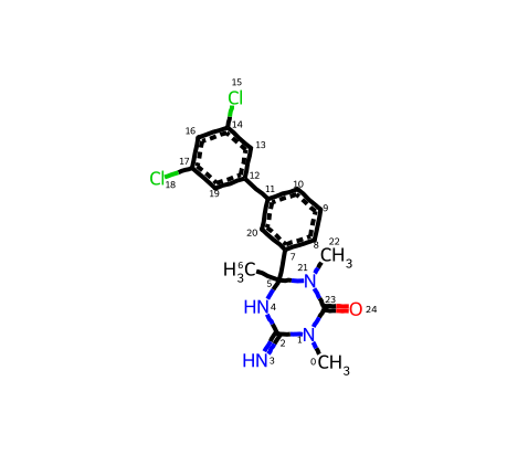 CN1C(=N)NC(C)(c2cccc(-c3cc(Cl)cc(Cl)c3)c2)N(C)C1=O